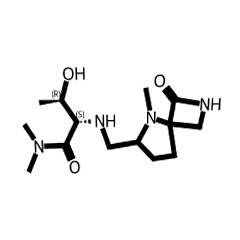 C[C@@H](O)[C@H](NCC1CCC2(CNC2=O)N1C)C(=O)N(C)C